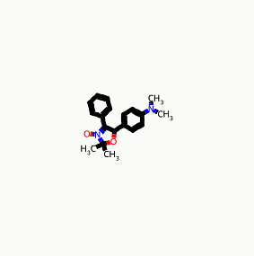 CN(C)c1ccc(C2OC(C)(C)[N+]([O-])=C2c2ccccc2)cc1